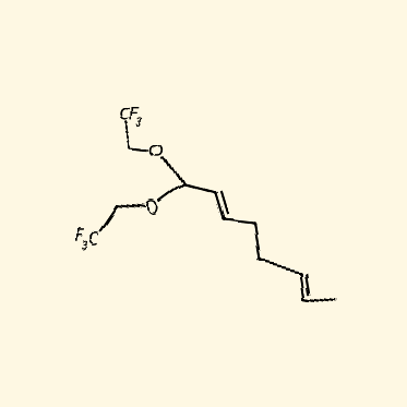 C/C=C/CC/C=C/C(OCC(F)(F)F)OCC(F)(F)F